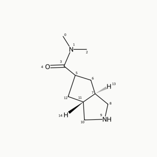 CN(C)C(=O)C1C[C@H]2CNC[C@@H]2C1